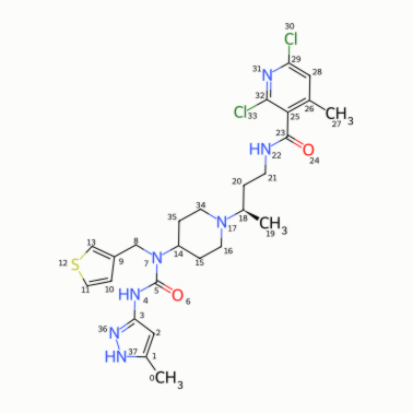 Cc1cc(NC(=O)N(Cc2ccsc2)C2CCN([C@H](C)CCNC(=O)c3c(C)cc(Cl)nc3Cl)CC2)n[nH]1